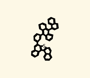 c1cc(-c2c3ccccc3c(-c3cccc4ccccc34)c3ccccc23)cc(-c2cc3ccccc3c3c2sc2ccc4ccccc4c23)c1